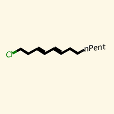 CCCCCCCC=CC=CCCCl